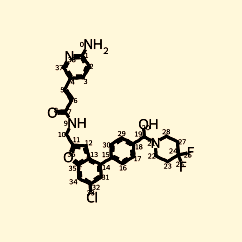 Nc1ccc(/C=C/C(=O)NCc2cc3c(-c4ccc(C(O)N5CCC(F)(F)CC5)cc4)cc(Cl)cc3o2)cn1